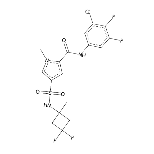 Cn1cc(S(=O)(=O)NC2(C)CC(F)(F)C2)cc1C(=O)Nc1cc(F)c(F)c(Cl)c1